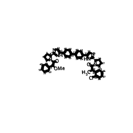 CO[C@@H](C(=O)N1CCC[C@H]1c1ncc(-c2ccc(-c3ccc(-c4cnc([C@@H]5CCCN5C(=O)[C@H](C)c5ccccc5Cl)[nH]4)cc3)cc2)[nH]1)c1ccccc1